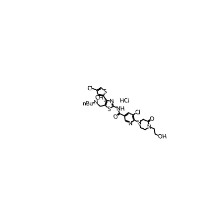 CCCCN(C)Cc1sc(NC(=O)c2cnc(N3CCN(CCO)C(=O)C3)c(Cl)c2)nc1-c1cc(Cl)cs1.Cl